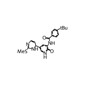 CSC1=NC=CC(c2c[nH]c(=O)c(NC(=O)c3ccc(C(C)(C)C)cc3)c2)N1